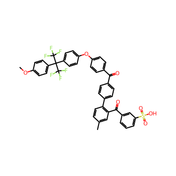 COc1ccc(C(c2ccc(Oc3ccc(C(=O)c4ccc(-c5ccc(C)cc5C(=O)c5cccc(S(=O)(=O)O)c5)cc4)cc3)cc2)(C(F)(F)F)C(F)(F)F)cc1